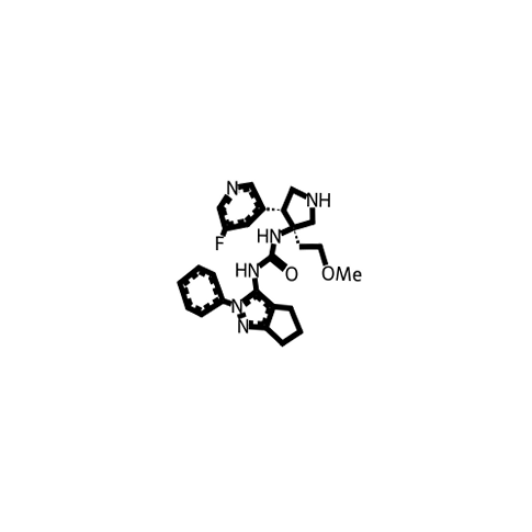 COCC[C@@]1(NC(=O)Nc2c3c(nn2-c2ccccc2)CCC3)CNC[C@H]1c1cncc(F)c1